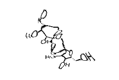 O=N[C@@H]1CO[C@@]2(CO[C@]3(CO2)O[C@H](CO)C(O)C3O)C(O)C1O